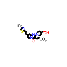 CC(C)c1csc(CCc2ccn3c(=O)c(/C=C/C(=O)O)c(N4CCC(CO)CC4)nc3c2)n1